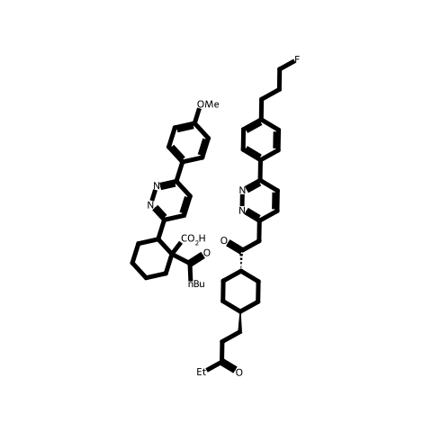 CCC(=O)CC[C@H]1CC[C@H](C(=O)Cc2ccc(-c3ccc(CCCF)cc3)nn2)CC1.CCCCC(=O)C1(C(=O)O)CCCCC1c1ccc(-c2ccc(OC)cc2)nn1